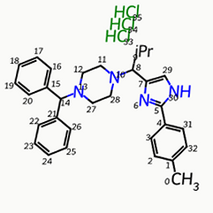 Cc1ccc(-c2nc(C(C(C)C)N3CCN(C(c4ccccc4)c4ccccc4)CC3)c[nH]2)cc1.Cl.Cl.Cl